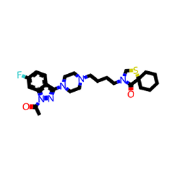 CC(=O)n1nc(N2CCN(CCCCN3CSC4(CCCCC4)C3=O)CC2)c2ccc(F)cc21